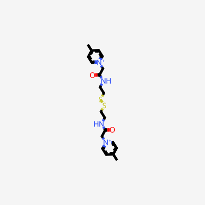 Cc1cc[n+](CC(=O)NCCSSCCNC(=O)C[n+]2ccc(C)cc2)cc1